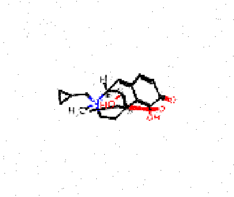 C[N+]1(CC2CC2)CC[C@]23CC(=O)CC[C@@]2(O)[C@H]1C=C1C=CC(=O)C(O)=C13